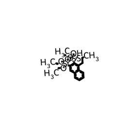 CCCc1c(S(=O)(O)=S)c([Si](OCC)(OCC)OCC)cc2ccccc12